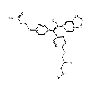 CCC(=C(c1ccc(OCOC(=O)C(C)(C)C)cc1)c1ccc(OCC(O)CNC(C)C)cc1)c1ccc2c(c1)OCO2